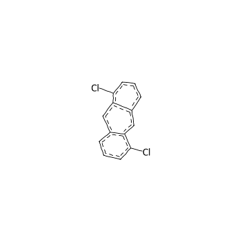 Clc1cccc2cc3c(Cl)cccc3cc12